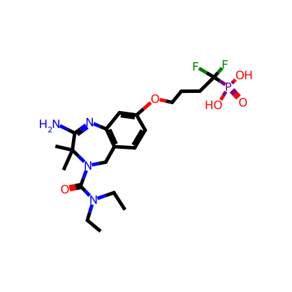 CCN(CC)C(=O)N1Cc2ccc(OCCCC(F)(F)P(=O)(O)O)cc2N=C(N)C1(C)C